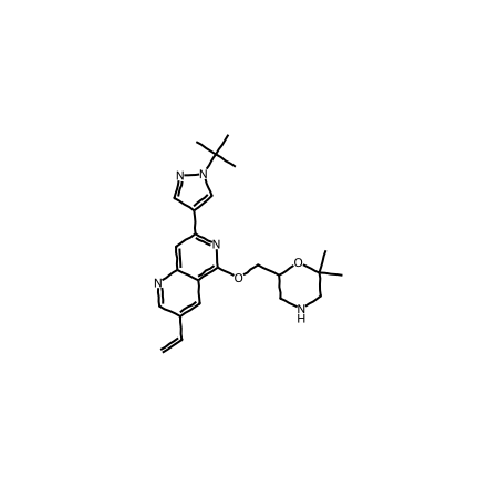 C=Cc1cnc2cc(-c3cnn(C(C)(C)C)c3)nc(OCC3CNCC(C)(C)O3)c2c1